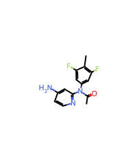 CC(=O)N(c1cc(F)c(C)c(F)c1)c1cc(N)ccn1